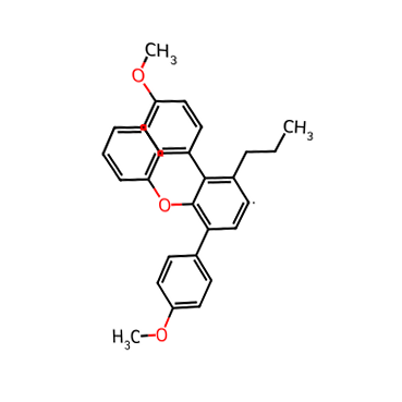 CCCc1[c]cc(-c2ccc(OC)cc2)c(Oc2ccccc2)c1-c1ccc(OC)cc1